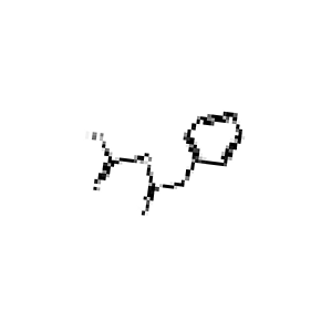 O=C(O)OC(=O)Cc1ccccc1